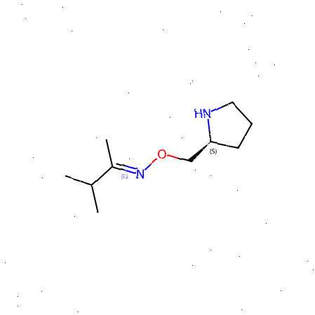 C/C(=N\OC[C@@H]1CCCN1)C(C)C